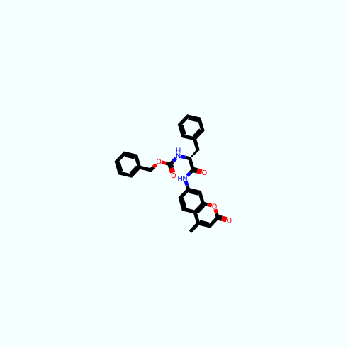 Cc1cc(=O)oc2cc(NC(=O)[C@H](Cc3ccccc3)NC(=O)OCc3ccccc3)ccc12